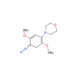 CCCCOC1=CC(N2CCOCC2)=C(OCCCC)CC1=[N+]=[N-]